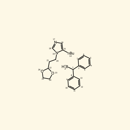 BC(c1ccccc1)c1ccccc1.CCCCc1cncn1CCC1OCCO1